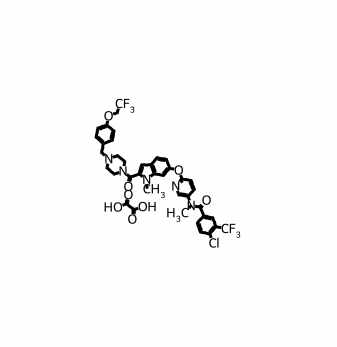 CN(C(=O)c1ccc(Cl)c(C(F)(F)F)c1)c1ccc(Oc2ccc3cc(C(=O)N4CCN(Cc5ccc(OCC(F)(F)F)cc5)CC4)n(C)c3c2)nc1.O=C(O)C(=O)O